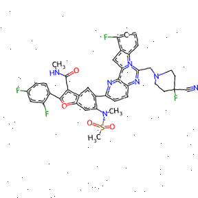 CNC(=O)c1c(-c2ccc(F)cc2F)oc2cc(N(C)S(C)(=O)=O)c(-c3ccc4nc(CN5CCC(F)(C#N)CC5)n5c6cccc(F)c6cc5c4n3)cc12